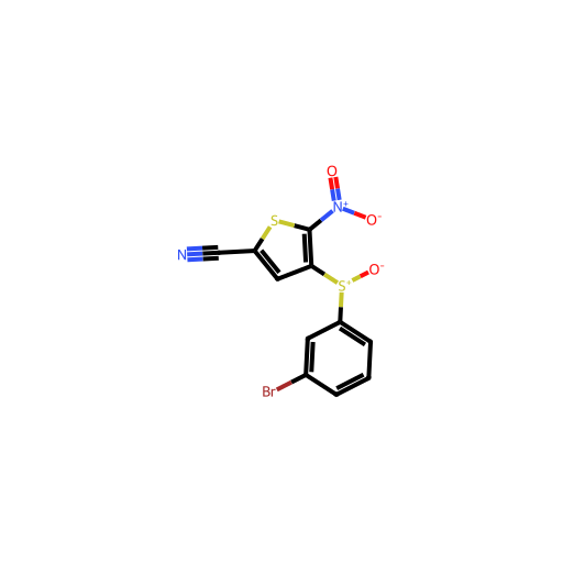 N#Cc1cc([S+]([O-])c2cccc(Br)c2)c([N+](=O)[O-])s1